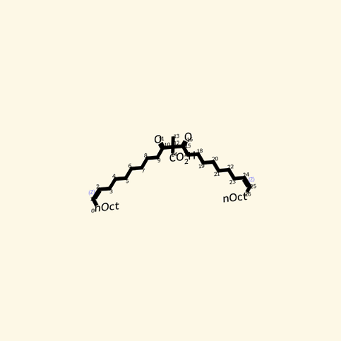 CCCCCCCC/C=C\CCCCCCCC(=O)C(C)(C(=O)O)C(=O)CCCCCCC/C=C\CCCCCCCC